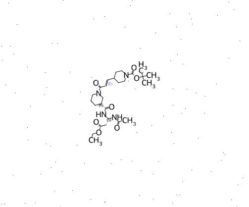 CCOC(=O)C[C@@H](NC(C)=O)NC(=O)[C@@H]1CCCN(C(=O)/C=C/C2CCN(C(=O)OC(C)(C)C)CC2)C1